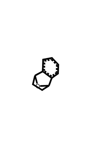 c1ccc2c(c1)C1CCC2O1